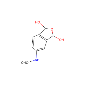 O=CNc1ccc2c(c1)C(O)OC2O